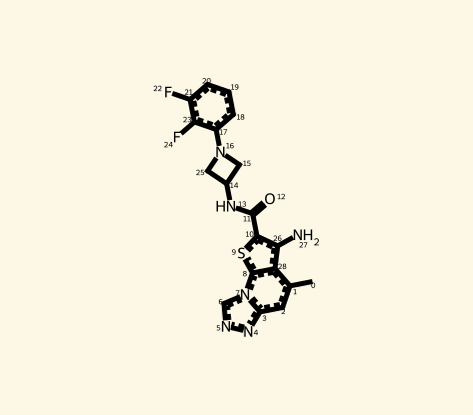 Cc1cc2nncn2c2sc(C(=O)NC3CN(c4cccc(F)c4F)C3)c(N)c12